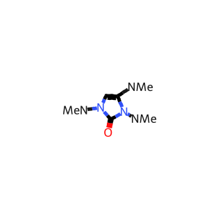 CNc1cn(NC)c(=O)n1NC